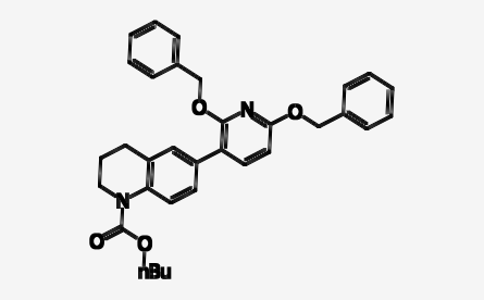 CCCCOC(=O)N1CCCc2cc(-c3ccc(OCc4ccccc4)nc3OCc3ccccc3)ccc21